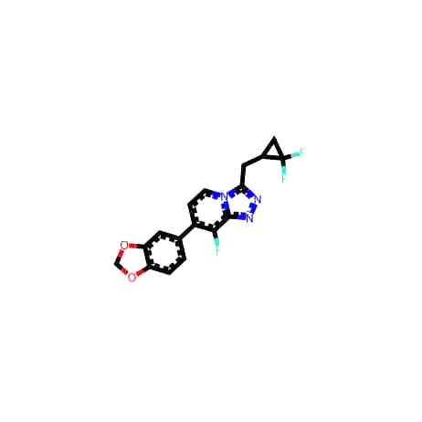 Fc1c(-c2ccc3c(c2)OCO3)ccn2c(CC3CC3(F)F)nnc12